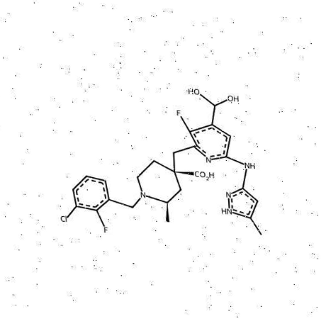 Cc1cc(Nc2cc(C(O)O)c(F)c(C[C@@]3(C(=O)O)CCN(Cc4cccc(Cl)c4F)[C@H](C)C3)n2)n[nH]1